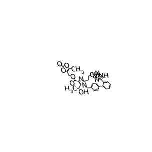 CCCc1nc(C(=O)OCc2oc(=O)oc2C)c(C(C)O)n1Cc1ccc(-c2ccccc2-c2nnn[nH]2)cc1